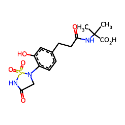 CC(C)(NC(=O)CCc1ccc(N2CC(=O)NS2(=O)=O)c(O)c1)C(=O)O